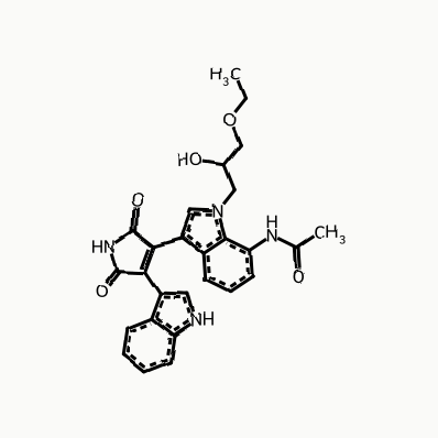 CCOCC(O)Cn1cc(C2=C(c3c[nH]c4ccccc34)C(=O)NC2=O)c2cccc(NC(C)=O)c21